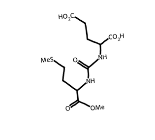 COC(=O)C(CCSC)NC(=O)NC(CCC(=O)O)C(=O)O